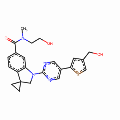 CN(CCO)C(=O)c1ccc2c(c1)N(c1ncc(-c3cc(CO)cs3)cn1)CC21CC1